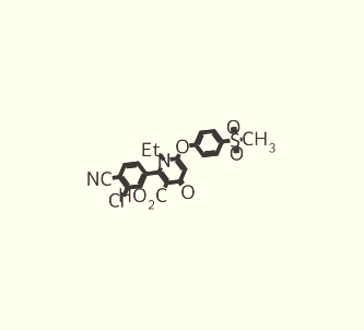 CCn1c(Oc2ccc(S(C)(=O)=O)cc2)cc(=O)c(C(=O)O)c1-c1ccc(C#N)c(Cl)c1